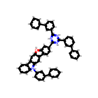 c1ccc(-c2cccc(-c3nc(-c4cccc(-c5ccccc5)c4)nc(-c4ccc5c(c4)oc4cc6c7ccccc7n(-c7cccc(-c8ccccc8)c7)c6cc45)n3)c2)cc1